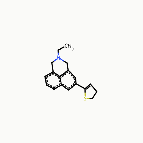 CCN1Cc2cccc3cc(C4=CCCS4)cc(c23)C1